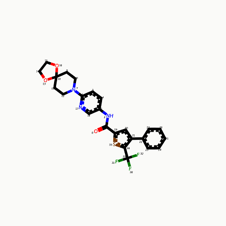 O=C(Nc1ccc(N2CCC3(CC2)OCCO3)nc1)c1cc(-c2ccccc2)c(C(F)(F)F)s1